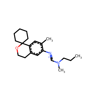 CCCN(C)/C=N/c1cc2c(cc1C)C1(CCCCC1)OCC2